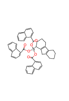 O=C([O][Ti]([O]C(=O)c1cccc2ccccc12)([O]C(=O)c1cccc2ccccc12)[CH]1CCCC2=C1CC1=C2CCCC1)c1cccc2ccccc12